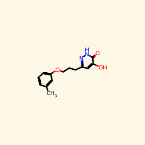 Cc1cccc(OCCCc2cc(O)c(=O)[nH]n2)c1